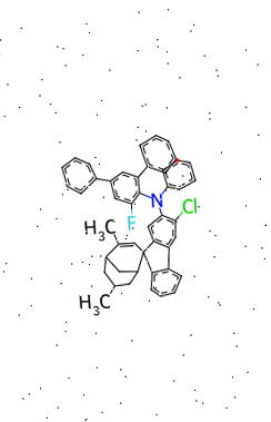 CC1=CC2(c3ccccc3-c3cc(Cl)c(N(c4ccccc4)c4c(F)cc(-c5ccccc5)cc4-c4ccccc4)cc32)C2CC(C)CC1C2